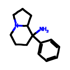 NC1(c2ccccc2)CCCN2CCCC21